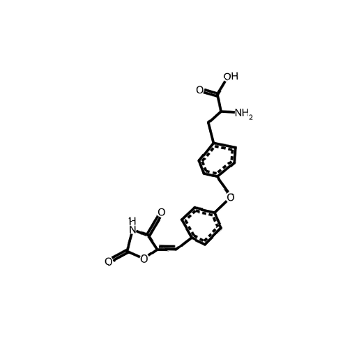 NC(Cc1ccc(Oc2ccc(C=C3OC(=O)NC3=O)cc2)cc1)C(=O)O